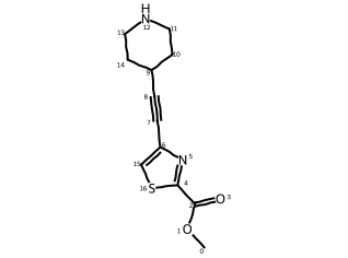 COC(=O)c1nc(C#CC2CCNCC2)cs1